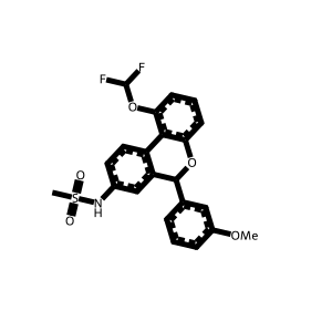 COc1cccc(C2Oc3cccc(OC(F)F)c3-c3ccc(NS(C)(=O)=O)cc32)c1